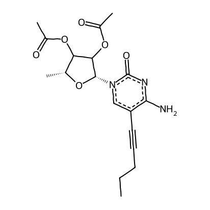 CCCC#Cc1cn([C@@H]2O[C@H](C)C(OC(C)=O)C2OC(C)=O)c(=O)nc1N